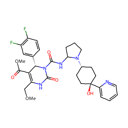 COCC1=C(C(=O)OC)[C@H](c2ccc(F)c(F)c2)N(C(=O)NC2CCCN2[C@H]2CC[C@@](O)(c3ccccn3)CC2)C(=O)N1